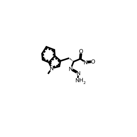 Cn1cc(C[C@@H](N=NN)C(=O)N=O)c2ccccc21